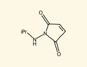 CC(C)NN1C(=O)C=CC1=O